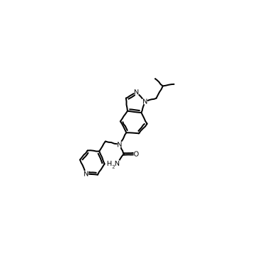 CC(C)Cn1ncc2cc(N(Cc3ccncc3)C(N)=O)ccc21